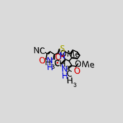 COC(=O)C1=C(C)NC(C)=C(C(=O)OC)C1c1ccccc1-c1nc(-c2cc(C#N)c(=O)[nH]c2C)cs1